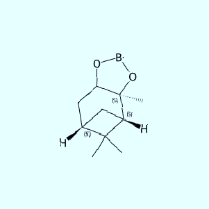 CC1(C)[C@@H]2CC3O[B]O[C@@]3(C)[C@H]1C2